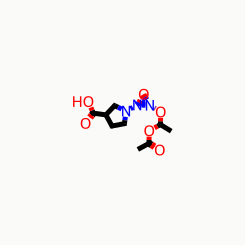 CC(=O)OC(C)On1on1N1CCC(C(=O)O)C1